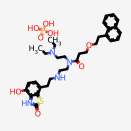 CCN(CC)CCN(CCNCCc1ccc(O)c2[nH]c(=O)sc12)C(=O)CCOCCc1cccc2ccccc12.O=P(O)(O)O